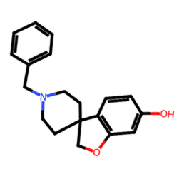 Oc1ccc2c(c1)OCC21CCN(Cc2ccccc2)CC1